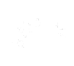 Cc1nsc(Nc2cncc(C(F)(F)F)n2)c1C(=O)Nc1ccc(OCCCNC(=O)OC(C)(C)C)nc1